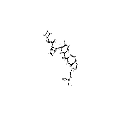 CN(C)CCn1ccc2ccc(Nc3ncc(F)c(NC4C5C=CC(C5)C4C(=O)NC4CCC4)n3)cc21